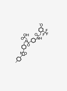 COc1ccc(CC(=O)Nc2ccc(C(=O)N(CC(=O)O)Cc3ccc(-c4nc(-c5ccc(C)cc5)co4)cc3)cc2)c(C(F)(F)F)c1